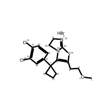 Br.COCCC1=C(C2(c3ccc(Cl)c(Cl)c3)CCC2)N2CCN=C2S1